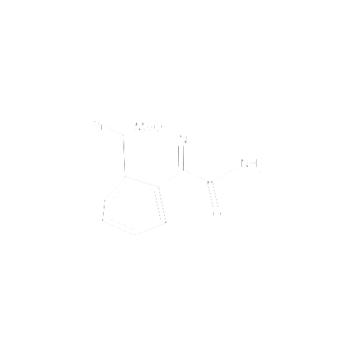 CO/N=C(/C(N)=O)c1ccccc1CBr